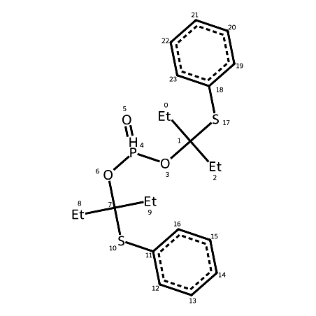 CCC(CC)(O[PH](=O)OC(CC)(CC)Sc1ccccc1)Sc1ccccc1